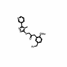 COc1ccc(CC(C)=O)cc1CC(=O)CSc1nnc(-c2cccnc2)n1C